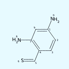 Nc1ccc(C=S)c(N)c1